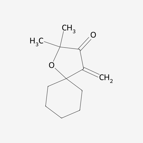 C=C1C(=O)C(C)(C)OC12CCCCC2